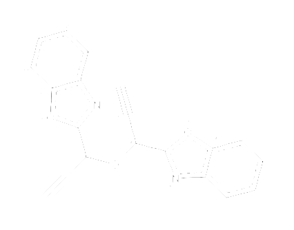 C#CC(OC(C#C)c1nc2ccccc2o1)c1nc2ccccc2o1